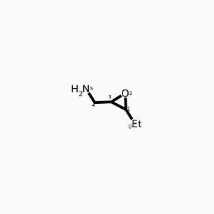 CCC1OC1CN